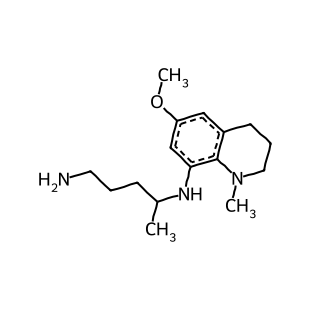 COc1cc2c(c(NC(C)CCCN)c1)N(C)CCC2